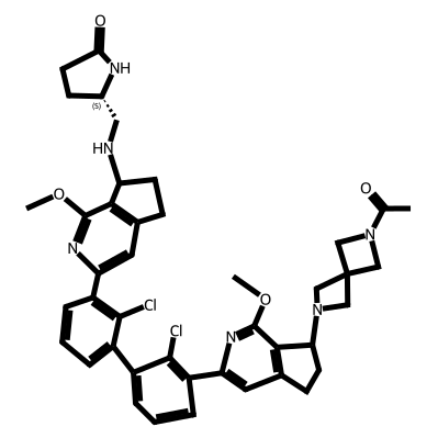 COc1nc(-c2cccc(-c3cccc(-c4cc5c(c(OC)n4)C(N4CC6(CN(C(C)=O)C6)C4)CC5)c3Cl)c2Cl)cc2c1C(NC[C@@H]1CCC(=O)N1)CC2